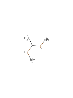 [CH2]C(SCCC)SCCC